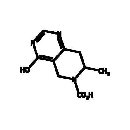 CC1Cc2ncnc(O)c2CN1C(=O)O